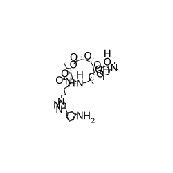 CC[C@H]1OC(=O)[C@H](C)C(=O)[C@H](C)[C@@H](O[C@@H]2OC(C)CC(N(C)C)C2O)[C@@](C)(O)C[C@@H](C)CN[C@H](C)[C@H]2N(CCCCn3cc(-c4cccc(N)c4)nn3)C(=O)O[C@]12C